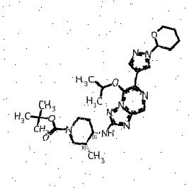 CC(C)Oc1c(-c2cnn(C3CCCCO3)c2)ncc2nc(N[C@H]3CCN(C(=O)OC(C)(C)C)C[C@H]3C)nn12